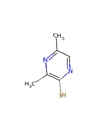 Cc1cnc(S)c(C)n1